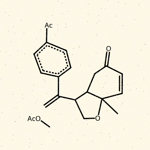 C=C(c1ccc(C(C)=O)cc1)C1COC2(C)C=CC(=O)CC12.COC(C)=O